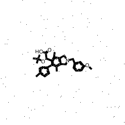 COc1cccc(CN2Cc3c(C)c(-c4ccc(C)cc4)c([C@H](OC(C)(C)C)C(=O)O)c(C)c3C2)c1